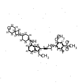 CCc1c(C#CCNc2cc(F)c(S(C)(=O)=O)cc2OC)sc2c(NC3CCC(N4CC5(CCOCC5)C4)CC3)cccc12